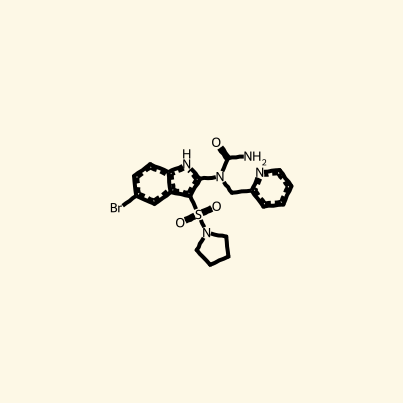 NC(=O)N(Cc1ccccn1)c1[nH]c2ccc(Br)cc2c1S(=O)(=O)N1CCCC1